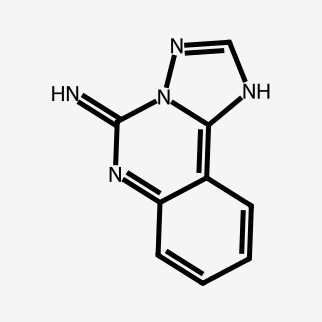 N=c1nc2ccccc2c2[nH]cnn12